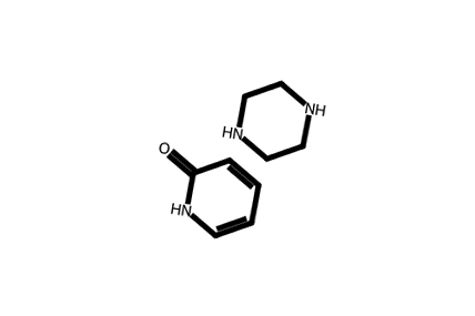 C1CNCCN1.O=c1cccc[nH]1